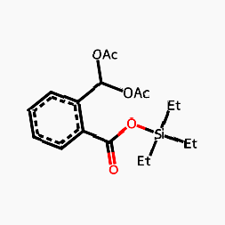 CC[Si](CC)(CC)OC(=O)c1ccccc1C(OC(C)=O)OC(C)=O